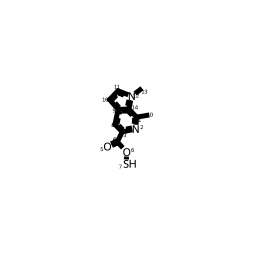 Cc1nc(C(=O)OS)cc2ccn(C)c12